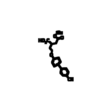 CC(C)(C)OC(=O)CC(CCOc1ccc(-c2ccc(C#N)cc2)cc1)C(=O)O